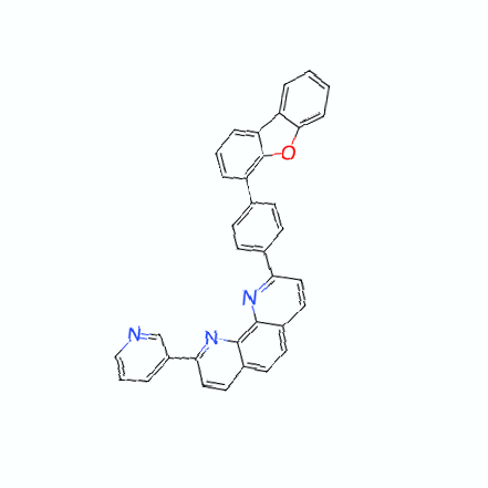 c1cncc(-c2ccc3ccc4ccc(-c5ccc(-c6cccc7c6oc6ccccc67)cc5)nc4c3n2)c1